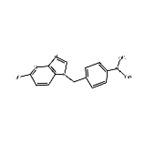 OB(O)c1ccc(Cn2cnc3nc(O)ccc32)cc1